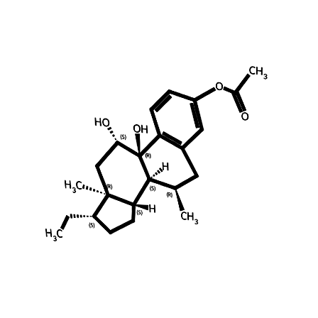 CC[C@H]1CC[C@H]2[C@@H]3[C@H](C)Cc4cc(OC(C)=O)ccc4[C@@]3(O)[C@@H](O)C[C@]12C